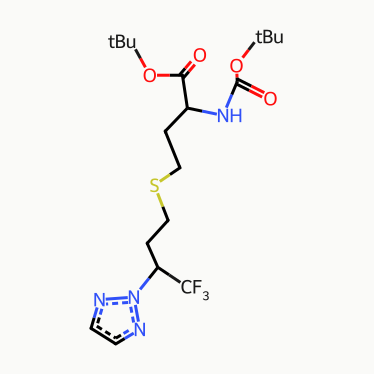 CC(C)(C)OC(=O)NC(CCSCCC(n1nccn1)C(F)(F)F)C(=O)OC(C)(C)C